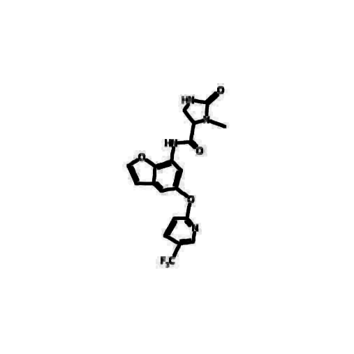 CN1C(=O)NCC1C(=O)Nc1cc(Oc2ccc(C(F)(F)F)cn2)cc2ccoc12